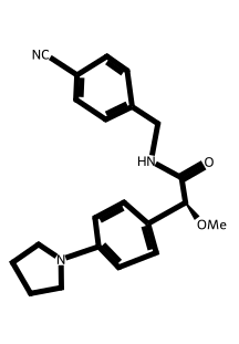 CO[C@H](C(=O)NCc1ccc(C#N)cc1)c1ccc(N2CCCC2)cc1